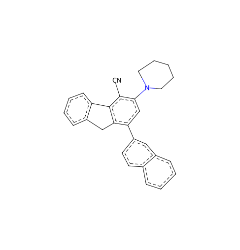 N#Cc1c(N2CCCCC2)cc(-c2ccc3ccccc3c2)c2c1-c1ccccc1C2